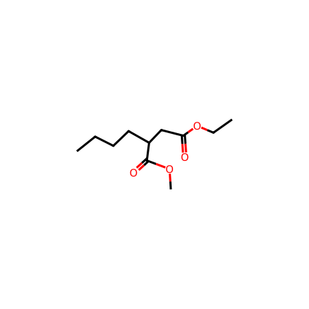 CCCCC(CC(=O)OCC)C(=O)OC